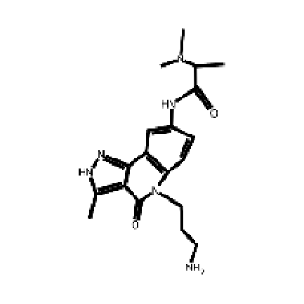 Cc1[nH]nc2c1c(=O)n(CCCN)c1ccc(NC(=O)C(C)N(C)C)cc21